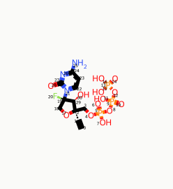 C#C[C@]1(COP(=O)(O)OP(=O)(O)OP(=O)(O)O)OC[C@](F)(n2ccc(N)nc2=O)[C@@H]1O